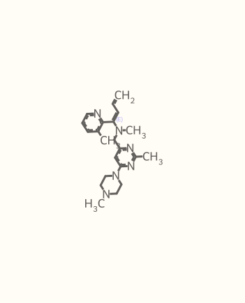 C=C/C=C(\c1ncccc1C)N(C)Cc1cc(N2CCN(C)CC2)nc(C)n1